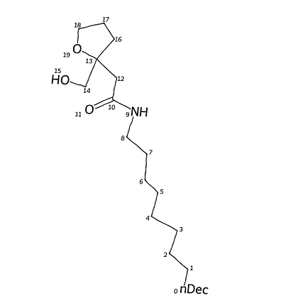 CCCCCCCCCCCCCCCCCCNC(=O)CC1(CO)CCCO1